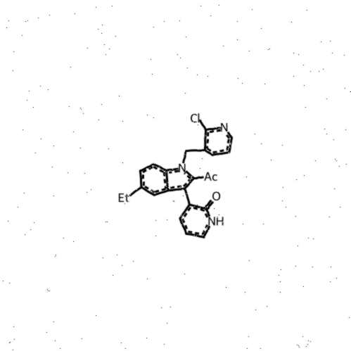 CCc1ccc2c(c1)c(-c1ccc[nH]c1=O)c(C(C)=O)n2Cc1cccnc1Cl